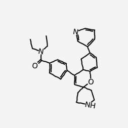 CCN(CC)C(=O)c1ccc(C2=CC3(CCNCC3)OC3=CC=C(c4cccnc4)CC32)cc1